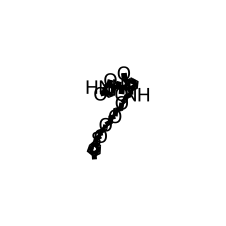 Cc1ccc(SOCCOCCOCCOCCNc2cccc(C=O)c2C(=O)N(C)C2CCC(=O)NC2=O)cc1